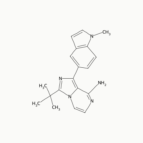 Cn1ccc2cc(-c3nc(C(C)(C)C)n4ccnc(N)c34)ccc21